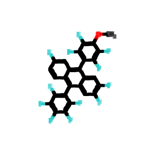 COc1c(F)c(F)c(-c2c3cc(F)ccc3c(-c3c(F)c(F)c(F)c(F)c3F)c3cc(F)c(F)cc23)c(F)c1F